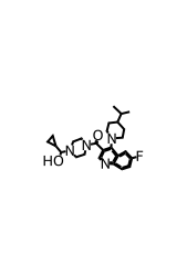 CC(C)C1CCN(c2c(C(=O)N3CCN(C(O)C4CC4)CC3)cnc3ccc(F)cc23)CC1